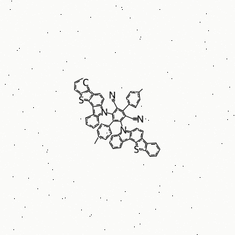 Cc1ccc(-c2c(C#N)c(-n3c4ccccc4c4c5sc6ccccc6c5ccc43)c(-c3ccc(C)cc3)c(-n3c4ccccc4c4c5sc6ccccc6c5ccc43)c2C#N)cc1